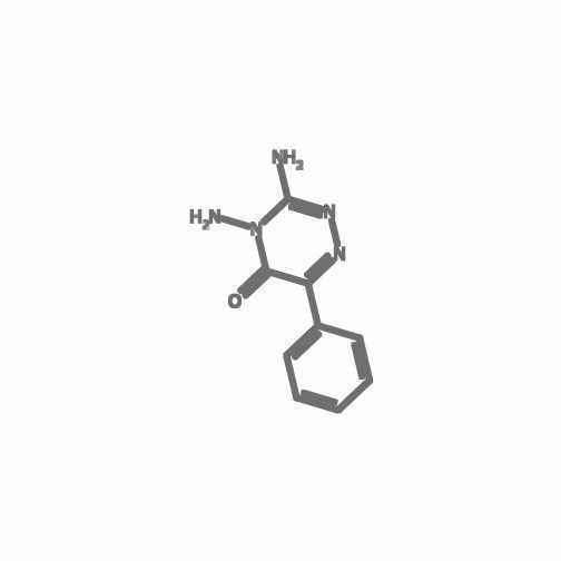 Nc1nnc(-c2ccccc2)c(=O)n1N